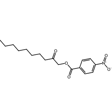 CCCCCCCCC(=O)COC(=O)c1ccc([N+](=O)[O-])cc1